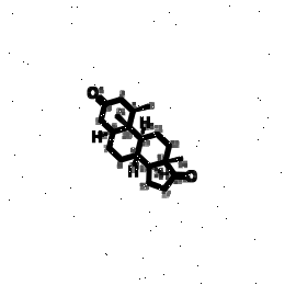 C[C@@H]1CC(=O)C[C@@H]2CC[C@@H]3[C@H](CC[C@]4(C)C(=O)CC[C@@H]34)[C@]21C